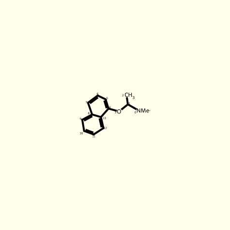 C[N]C(C)Oc1cccc2ccccc12